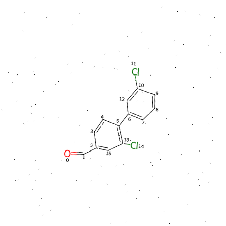 O=Cc1ccc(-c2cccc(Cl)c2)c(Cl)c1